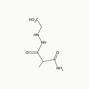 C[C](C(N)=O)C(=O)NNCC(=O)O